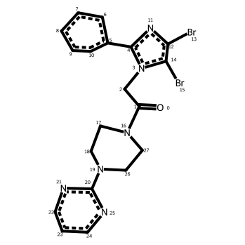 O=C(Cn1c(-c2ccccc2)nc(Br)c1Br)N1CCN(c2ncccn2)CC1